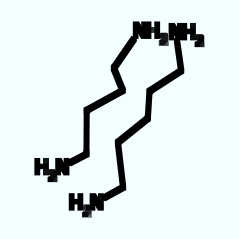 NCCCCCN.NCCCCN